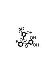 CC(=O)Oc1cc(O)cc(C(=O)Oc2c(F)cccc2OC(=O)c2cc(O)cc(O)c2)c1